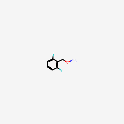 NOCc1c(F)cccc1F